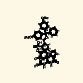 COc1ccc(C(OC[C@H]2O[C@@H](n3cnc4c(=O)[nH]c(NC(=O)C(C)C)nc43)C[C@@H]2P(=O)(O)Oc2ccccc2Cl)(c2ccccc2)c2ccc(OC)cc2)cc1